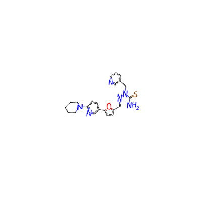 NC(=S)N(Cc1cccnc1)N=Cc1ccc(-c2ccc(N3CCCCC3)nc2)o1